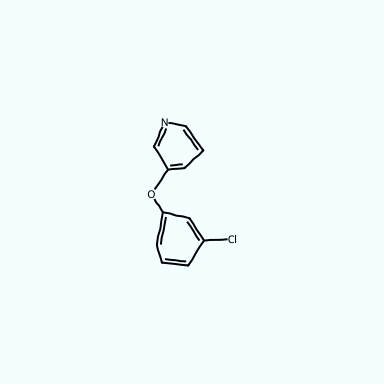 Clc1cccc(Oc2cccnc2)c1